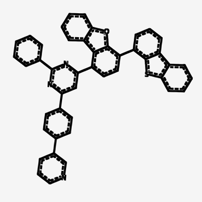 c1ccc(-c2nc(-c3ccc(-c4cccnc4)cc3)cc(-c3ccc(-c4cccc5c4sc4ccccc45)c4oc5ccccc5c34)n2)cc1